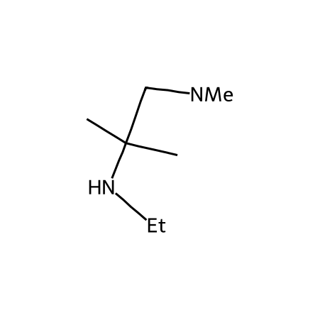 CCNC(C)(C)CNC